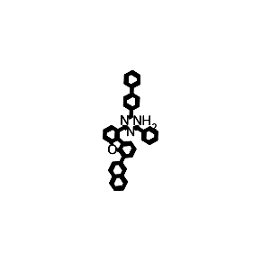 N/C(=N\C(=N/Cc1ccc(-c2ccccc2)cc1)c1cccc2oc3c(-c4ccc5ccccc5c4)cccc3c12)c1ccccc1